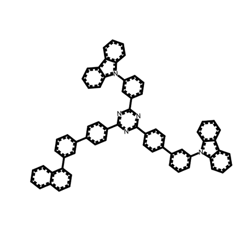 c1cc(-c2ccc(-c3nc(-c4ccc(-c5cccc(-n6c7ccccc7c7ccccc76)c5)cc4)nc(-c4cccc(-n5c6ccccc6c6ccccc65)c4)n3)cc2)cc(-c2cccc3ccccc23)c1